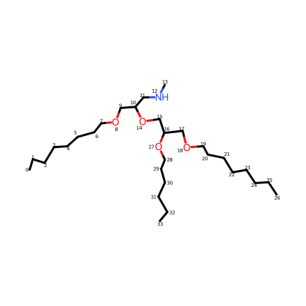 CCCCCCCCOCC(CNC)OCC(COCCCCCCCC)OCCCCCC